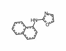 c1ccc2c(Nc3ncco3)cccc2c1